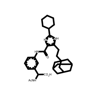 CC(=O)NC(C(=O)O)c1cccc(NC(=O)c2nc(C3CCCCC3)[nH]c2CCC23CC4CC(CC(C4)C2)C3)c1